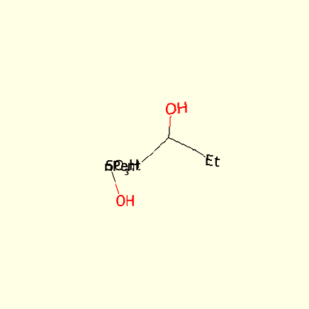 CCCCCC(O)CC.O=S(=O)(O)O